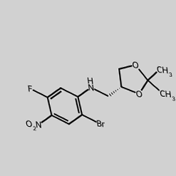 CC1(C)OC[C@@H](CNc2cc(F)c([N+](=O)[O-])cc2Br)O1